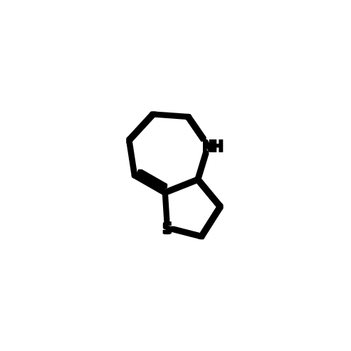 C1=C2SCCC2NCCC1